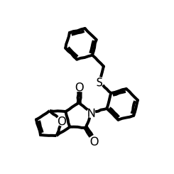 O=C1C2C3C=CC(O3)C2C(=O)N1c1ccccc1SCc1ccccc1